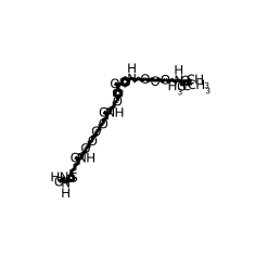 CC(C)(C)OC(=O)NCCCOCCOCCOCCCNc1ccc(C(=O)c2ccc(OCCCNC(=O)CCOCCOCCOCCOCCNC(=O)CCCCC3SCC4NC(=O)NC43)cc2)cc1